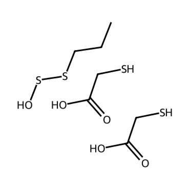 CCCSSO.O=C(O)CS.O=C(O)CS